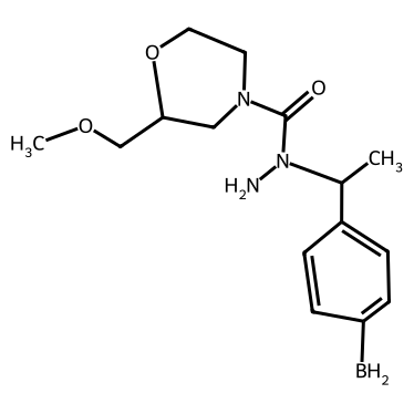 Bc1ccc(C(C)N(N)C(=O)N2CCOC(COC)C2)cc1